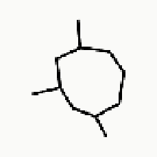 CC1CCCC(C)CC(C)C1